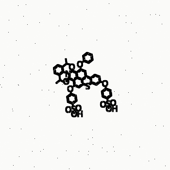 CC(C)c1cccc(C(C)C)c1-n1c(=O)c2c(Oc3ccc(S(=O)(=O)O)cc3)cc3sc4cc(Oc5ccc(S(=O)(=O)O)cc5)ccc4c4cc(Oc5ccccc5)c(c1=O)c2c34